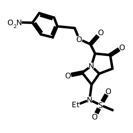 CCN(C1C(=O)N2C(C(=O)OCc3ccc([N+](=O)[O-])cc3)C(=O)CC12)S(C)(=O)=O